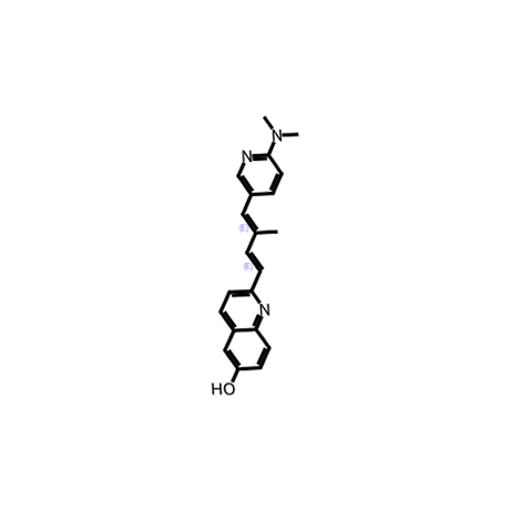 CC(/C=C/c1ccc2cc(O)ccc2n1)=C\c1ccc(N(C)C)nc1